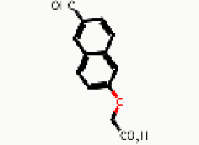 O=Cc1ccc2cc(OCC(=O)O)ccc2c1